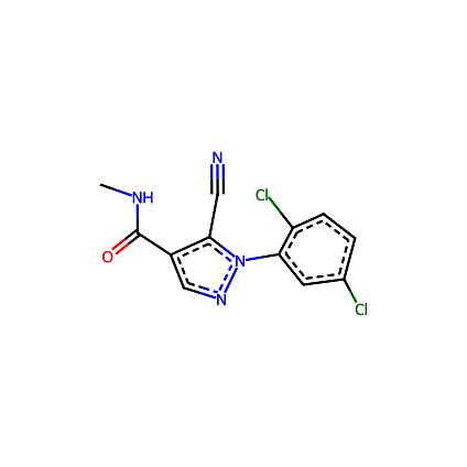 CNC(=O)c1cnn(-c2cc(Cl)ccc2Cl)c1C#N